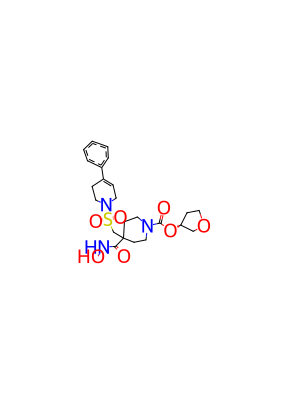 O=C(O[C@H]1CCOC1)N1CCC(CS(=O)(=O)N2CC=C(c3ccccc3)CC2)(C(=O)NO)CC1